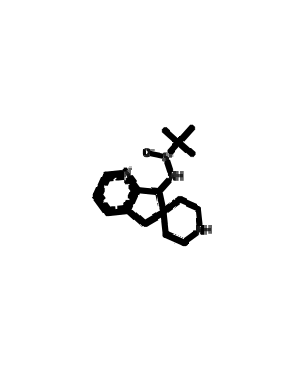 CC(C)(C)[S+]([O-])NC1c2ncccc2CC12CCNCC2